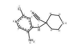 N#CC1(Nc2nc(Cl)ncc2N)CCSCC1